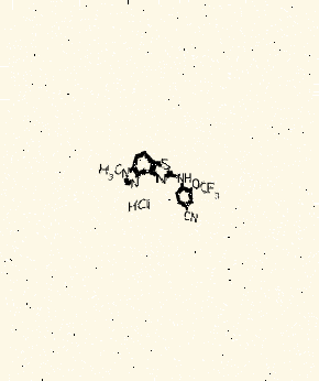 Cl.Cn1cnc2c3nc(Nc4ccc(C#N)cc4OC(F)(F)F)sc3ccc21